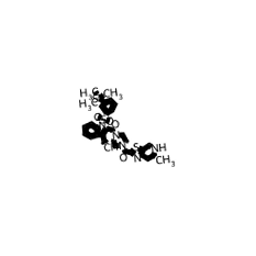 C#Cc1c(C(=O)N2CCN(C(=O)c3nc4c(s3)CNC(C)C4)CC2)n(S(=O)(=O)c2cccc([Si](C)(C)C)c2)c2ccccc12